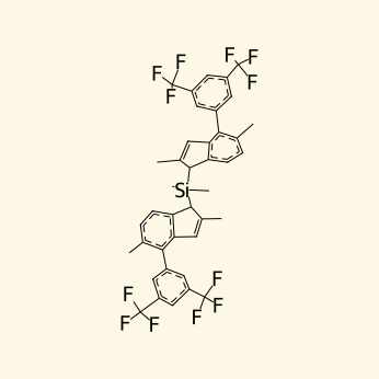 CC1=Cc2c(ccc(C)c2-c2cc(C(F)(F)F)cc(C(F)(F)F)c2)C1[Si](C)(C)C1C(C)=Cc2c1ccc(C)c2-c1cc(C(F)(F)F)cc(C(F)(F)F)c1